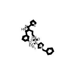 CCOc1cccc(-c2[nH]nc(-c3cccs3)c2CCNS(=O)(=O)N(C)[C@@H]2CCN(Cc3ccccc3)C2)c1